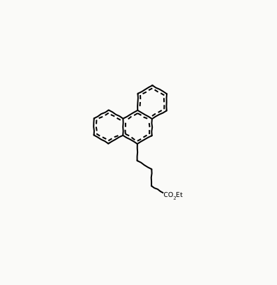 CCOC(=O)CCCc1cc2ccccc2c2ccccc12